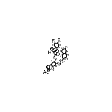 CC(=O)N(C)Cc1ccc(CCC(=O)NS(=O)(=O)c2ccc(F)c(F)c2)c(OCCc2ccc3ccccc3c2)c1